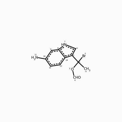 CC(Br)(OC=O)c1c[nH]c2cc(N)ccc12